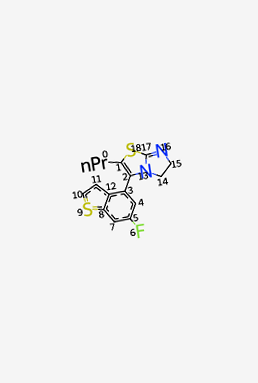 CCCC1=C(c2cc(F)cc3sccc23)N2CCN=C2S1